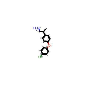 CC(CN)c1ccc(Oc2ccc(Cl)cc2)cc1